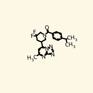 Cc1cc(C2CN(C(=O)c3ccc(C(C)C)cc3)CC(F)(F)C2)n2ncnc2n1